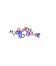 COC1CC(n2c(=O)n(C)c3cnc4ccc(-c5ccc(OCCCN6CCCCC6)nc5)cc4c32)C1